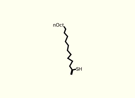 C=C(S)CCCCCCCCCCCCCCCCCC